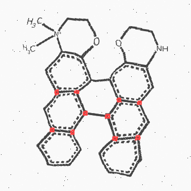 C[N+]1(C)CCOc2c1ccc(P(c1ccccc1)c1ccccc1)c2-c1c(P(c2ccccc2)c2ccccc2)ccc2c1OCCN2